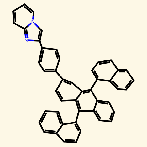 c1ccc2c(-c3c4ccccc4c(-c4cccc5ccccc45)c4cc(-c5ccc(-c6cn7ccccc7n6)cc5)ccc34)cccc2c1